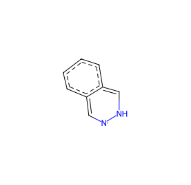 C1=c2ccccc2=CN[N]1